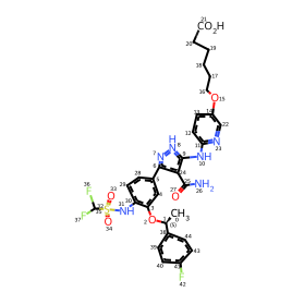 C[C@H](Oc1cc(-c2n[nH]c(Nc3ccc(OCCCCCC(=O)O)cn3)c2C(N)=O)ccc1NS(=O)(=O)C(F)F)c1ccc(F)cc1